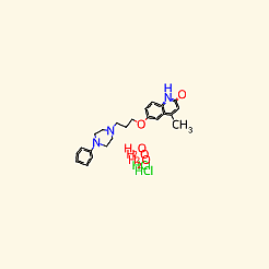 Cc1cc(=O)[nH]c2ccc(OCCCN3CCN(c4ccccc4)CC3)cc12.Cl.Cl.O.O.O